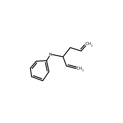 C=CCC(C=C)[N]c1ccccc1